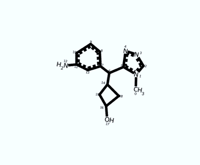 Cn1cnnc1C(c1cccc(N)c1)C1CC(O)C1